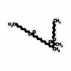 CCCCCCCCOC(=O)CCCCCCCCCC(C)C(C)C(=O)OCCCCCCCC